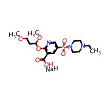 CCN1CCN(S(=O)(=O)c2cnc(OC(CCOC)OC)c(C(=O)O)c2)CC1.[NaH]